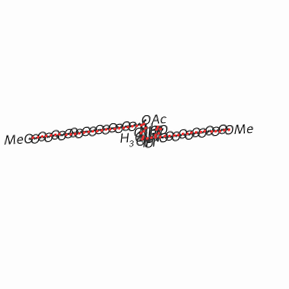 COCCOCCOCCOCCOCCOCCOCCOCCOCCOCCOCCN(CCC(=O)N[C@H](C(=O)N[C@@H](C)C(=O)Nc1ccc(COC(C)=O)c(CCCOCCOCCOCCOCCOCCOCCOCCOCCOCCOCOCCOCCOCCOCCOCCOCCOC)c1)C(C)C)C(=O)CN1C(=O)C=CC1=O